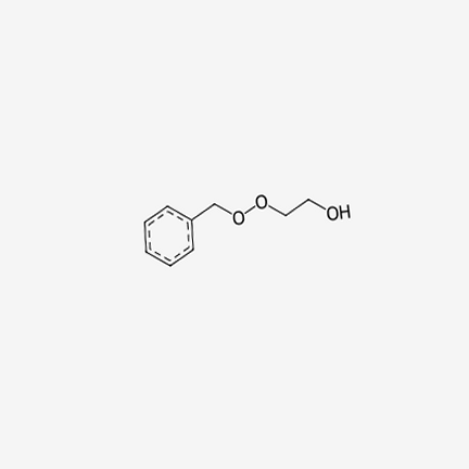 OCCOOCc1ccccc1